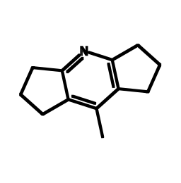 Cc1c2c(nc3c1CCC3)CCC2